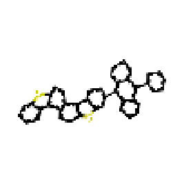 c1ccc(-c2c3ccccc3c(-c3ccc4c(c3)sc3ccc5c(ccc6sc7ccccc7c65)c34)c3ccccc23)cc1